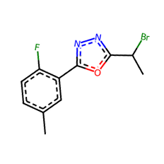 Cc1ccc(F)c(-c2nnc(C(C)Br)o2)c1